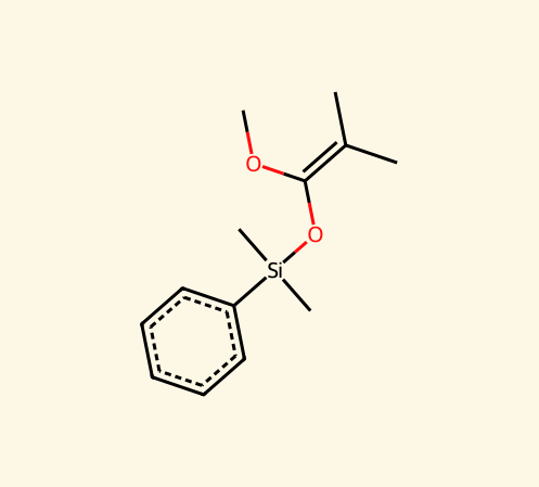 COC(O[Si](C)(C)c1ccccc1)=C(C)C